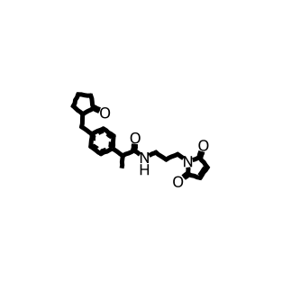 CC(C(=O)NCCCN1C(=O)C=CC1=O)c1ccc(CC2CCCC2=O)cc1